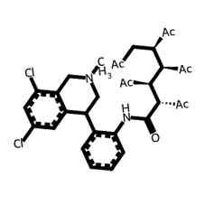 CC(=O)C[C@@H](C(C)=O)[C@@H](C(C)=O)[C@H](C(C)=O)[C@H](C(C)=O)C(=O)Nc1ccccc1C1CN(C)Cc2c(Cl)cc(Cl)cc21